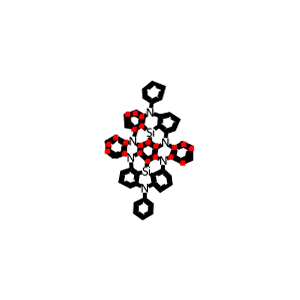 c1ccc(N2c3cccc4c3[Si]3(c5ccccc5)c5c2cccc5N(c2ccccc2)c2c5c6c(c(c23)N4c2ccccc2)N(c2ccccc2)c2cccc3c2[Si]6(c2ccccc2)c2c(cccc2N5c2ccccc2)N3c2ccccc2)cc1